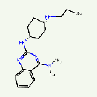 CN(C)c1nc(N[C@H]2CC[C@@H](NCCC(C)(C)C)CC2)nc2ccccc12